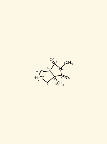 [CH2]CC1(C)C(=O)N(C)C(=O)N1C